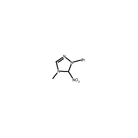 CC(C)N1N=CN(C)C1[N+](=O)[O-]